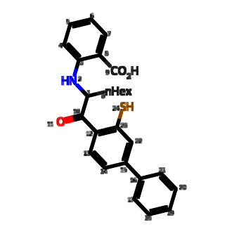 CCCCCCC(Nc1ccccc1C(=O)O)C(=O)c1ccc(-c2ccccc2)cc1S